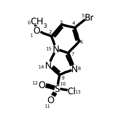 COc1cc(Br)cc2nc(S(=O)(=O)Cl)nn12